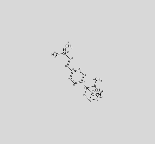 CC1CCC2CC1(c1ccc(C=C[SiH](C)C)cc1)C2(C)C